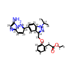 CCOC(=O)Cc1ccccc1OCc1nn(C(C)C)c2ccc(-c3ccc4ncc(N)n4n3)cc12